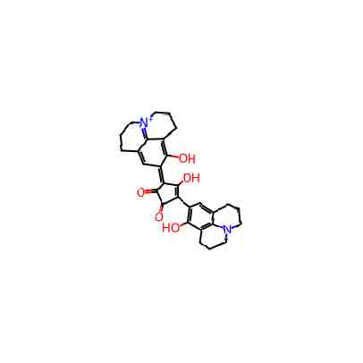 O=C1C(=O)/C(=c2\cc3c4c(c2O)CCC[N+]=4CCC3)C(O)=C1c1cc2c3c(c1O)CCCN3CCC2